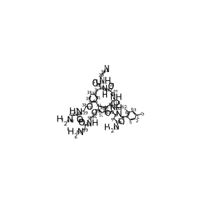 Cc1ccc(C(=O)N[C@@H](CCN)C(=O)N(C)[C@@H]2C(=O)N[C@@H](C)C(=O)N[C@H](C(=O)NCC#N)Cc3ccc(OCCNC(=O)CN)c(c3)-c3cc2ccc3OCCNC(=O)CN)c(C)c1